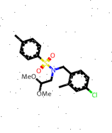 COC(CN(Cc1ccc(Cl)cc1C)S(=O)(=O)c1ccc(C)cc1)OC